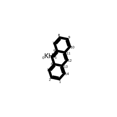 [KH].c1ccc2cc3ccccc3cc2c1